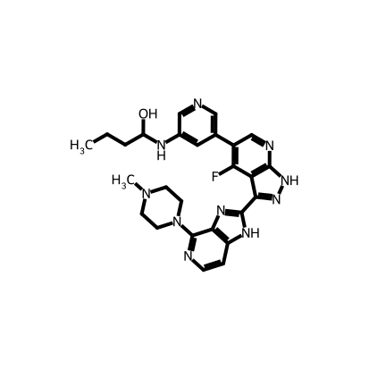 CCCC(O)Nc1cncc(-c2cnc3[nH]nc(-c4nc5c(N6CCN(C)CC6)nccc5[nH]4)c3c2F)c1